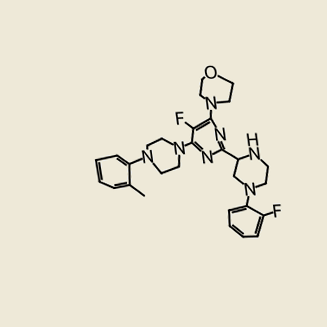 Cc1ccccc1N1CCN(c2nc(C3CN(c4ccccc4F)CCN3)nc(N3CCOCC3)c2F)CC1